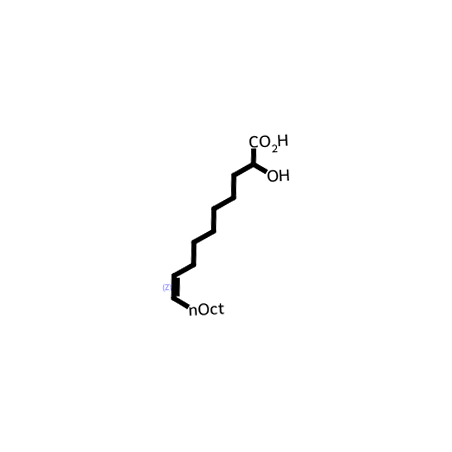 CCCCCCCC/C=C\CCCCCCC(O)C(=O)O